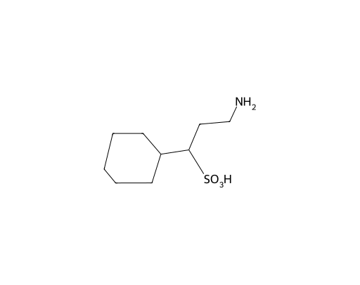 NCCC(C1CCCCC1)S(=O)(=O)O